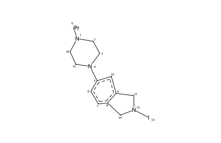 CC(C)N1CCN(c2ccc3c(c2)CN(I)C3)CC1